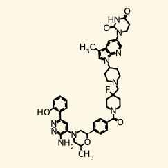 Cc1cn(C2CCN(CC3(F)CCN(C(=O)c4ccc([C@@H]5CN(c6cc(-c7ccccc7O)nnc6N)C[C@H](C)O5)cc4)CC3)CC2)c2ncc(N3CCC(=O)NC3=O)cc12